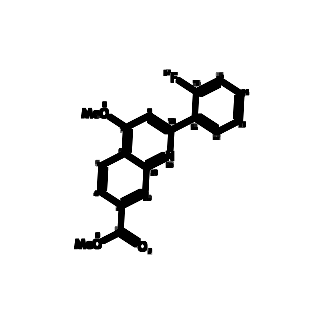 COC(=O)c1ccc2c(OC)cc(-c3ccccc3F)nc2c1